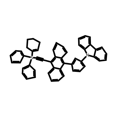 C(#CS(C1=CCCCC1)(c1ccccc1)c1ccccc1)c1c2ccccc2c(-c2cccc(-n3c4ccccc4c4ccccc43)c2)c2ccccc12